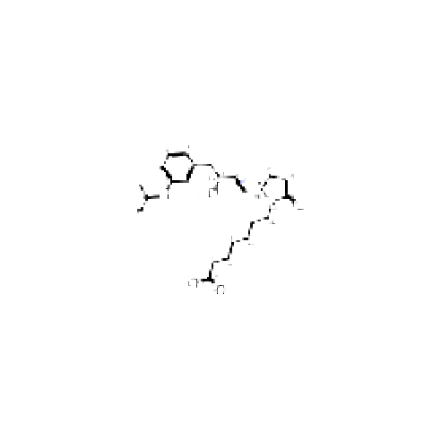 CC(C)Oc1cccc(C[C@H](O)/C=C/[C@H]2CCC(=O)N2CCCCCCC(=O)O)c1